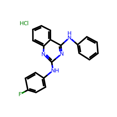 Cl.Fc1ccc(Nc2nc(Nc3ccccc3)c3ccccc3n2)cc1